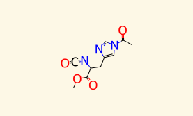 COC(=O)C(Cc1cn(C(C)=O)cn1)N=C=O